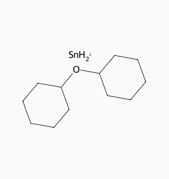 C1CCC(OC2CCCCC2)CC1.[SnH2]